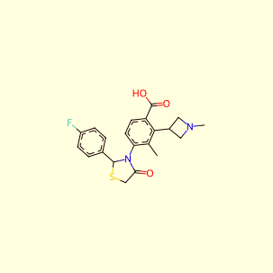 Cc1c(N2C(=O)CSC2c2ccc(F)cc2)ccc(C(=O)O)c1C1CN(C)C1